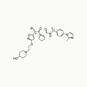 Cc1nccn1-c1ccc([C@H](C)NC(=O)[C@@H]2CCCN2C(=O)[C@@H](c2cc(OCCN3CCC(O)CC3)no2)C(C)C)cc1